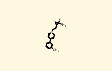 Cc1cccc(C2=CCN(CCC3CC3(F)P)C=C2)c1